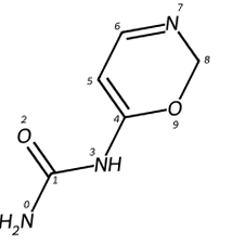 NC(=O)NC1=CC=NCO1